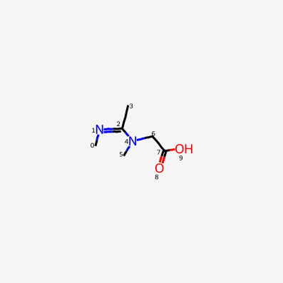 C/N=C(/C)N(C)CC(=O)O